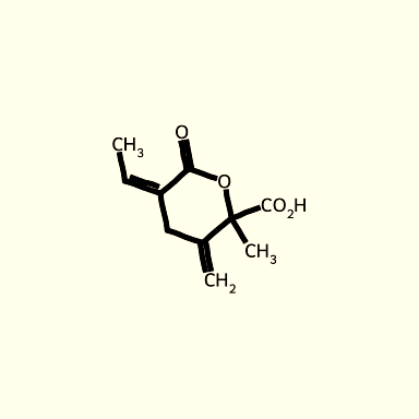 C=C1CC(=CC)C(=O)OC1(C)C(=O)O